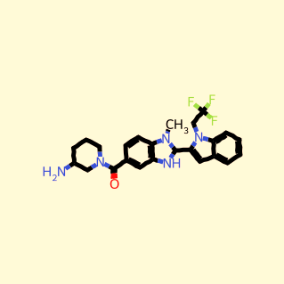 CN1c2ccc(C(=O)N3CCCC(N)C3)cc2NC1c1cc2ccccc2n1CC(F)(F)F